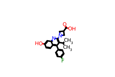 CC(C)c1c(N2CC(C(=O)O)C2)nc2cc(O)ccc2c1-c1ccc(F)cc1